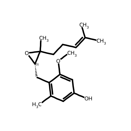 COc1cc(O)cc(C)c1C[C@@H]1OC1(C)CCC=C(C)C